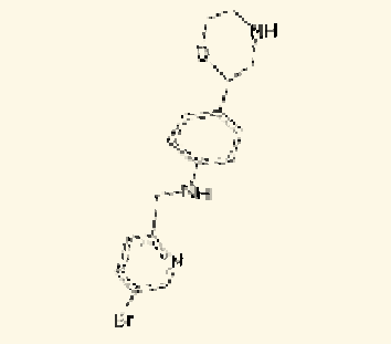 Brc1ccc(CNc2ccc(C3CNCCO3)cc2)nc1